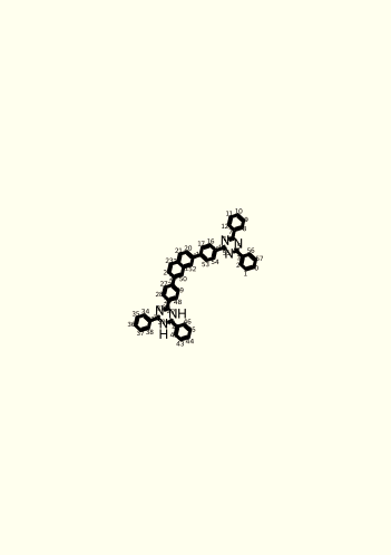 c1ccc(-c2nc(-c3ccccc3)nc(-c3ccc(-c4ccc5ccc(-c6ccc(C7=NC(c8ccccc8)NC(c8ccccc8)N7)cc6)cc5c4)cc3)n2)cc1